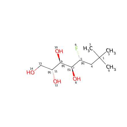 CC(C)(C)C[C@@H](F)[C@@H](O)[C@H](O)[C@H](O)CO